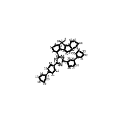 CC1(C)c2cccc(-c3nc(-c4ccc(-c5ccccc5)cc4)nc(-c4cccc(-c5ccccc5)c4)n3)c2-c2ccc3ccccc3c21